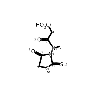 CN(C(=O)CC(=O)O)N1C(=O)CSC1=S